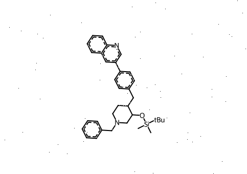 CC(C)(C)[Si](C)(C)OC1CN(Cc2ccccc2)CCC1Cc1ccc(-c2cnc3ccccc3c2)cc1